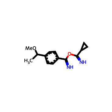 COC(C)c1ccc(C(=N)OC(=N)C2CC2)cc1